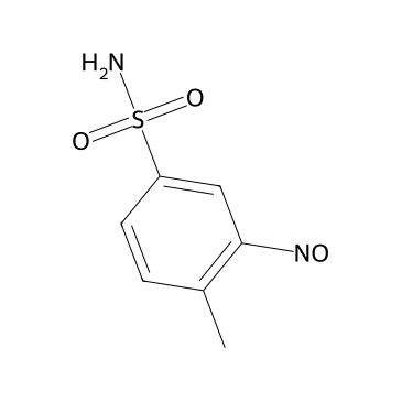 Cc1ccc(S(N)(=O)=O)cc1N=O